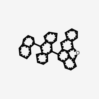 c1ccc2c(-c3c4ccccc4c(-c4cc5cccc6oc7c8ccccc8cc4c7c56)c4ccccc34)cccc2c1